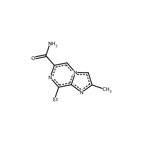 CCc1nc(C(N)=O)cn2cc(C)nc12